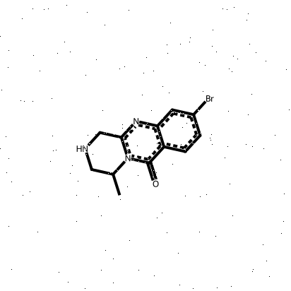 CC1CNCc2nc3cc(Br)ccc3c(=O)n21